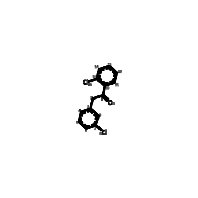 O=C(Cc1cccc(Cl)c1)c1ccccc1Cl